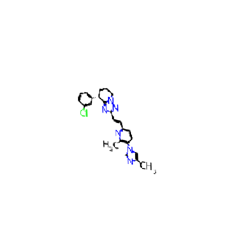 Cc1cn(-c2ccc(/C=C/c3nc4n(n3)CCC[C@H]4c3cccc(Cl)c3)nc2C)cn1